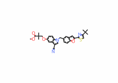 COC(=O)C(C)(C)COc1ccc2c(c1)c(C#N)cn2Cc1ccc2oc(-c3nc(C(C)(C)C)cs3)cc2c1